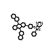 c1ccc(-c2nc3cncnc3n2-c2ccc(-c3ccc4c(-c5ccc6ccccc6c5)c5ccccc5c(-c5ccc6ccccc6c5)c4c3)cc2)cc1